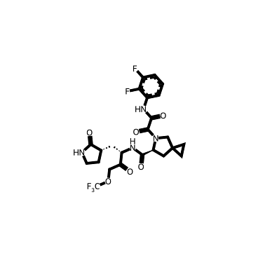 O=C(Nc1cccc(F)c1F)C(=O)N1CC2(CC2)C[C@H]1C(=O)N[C@@H](C[C@@H]1CCNC1=O)C(=O)COC(F)(F)F